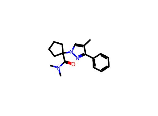 Cc1cn(C2(C(=O)N(C)C)CCCC2)nc1-c1ccccc1